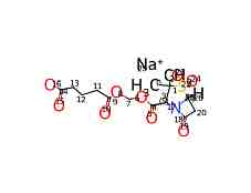 CC1(C)[C@H](C(=O)OCOC(=O)CCCC(=O)[O-])N2C(=O)C[C@H]2S1(=O)=O.[Na+]